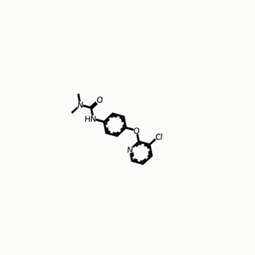 CN(C)C(=O)Nc1ccc(Oc2ncccc2Cl)cc1